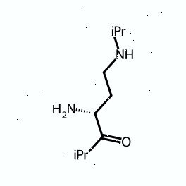 CC(C)NCC[C@@H](N)C(=O)C(C)C